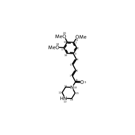 COc1cc(C=CC=CC(=O)N2CCNCC2)cc(OC)c1OC